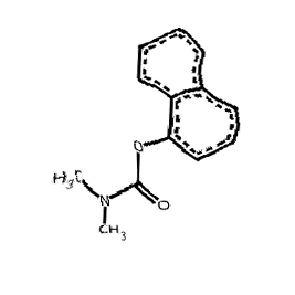 CN(C)C(=O)Oc1cccc2ccccc12